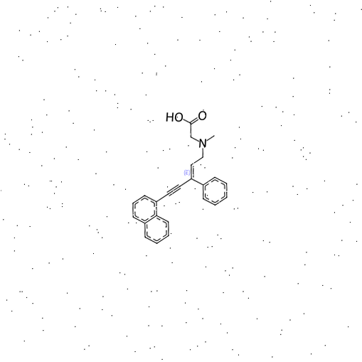 CN(C/C=C(/C#Cc1cccc2ccccc12)c1ccccc1)CC(=O)O